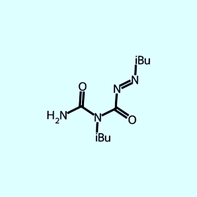 CCC(C)N=NC(=O)N(C(N)=O)C(C)CC